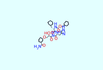 NC(=O)c1cccc(OCC(O)C(=O)NC(=O)[C@H](Cc2c[nH]cn2)NC(=O)[C@H](Cc2ccccc2)NC(=O)OCc2ccccc2)c1